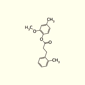 COc1cc(C)ccc1OC(=O)CCc1ccccc1C